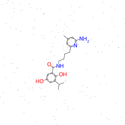 Cc1cc(N)nc(CCCCNC(=O)c2cc(O)cc(C(C)C)c2O)c1